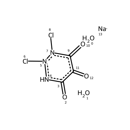 O.O.O=c1[nH]n(Cl)n(Cl)c(=O)c1=O.[Na]